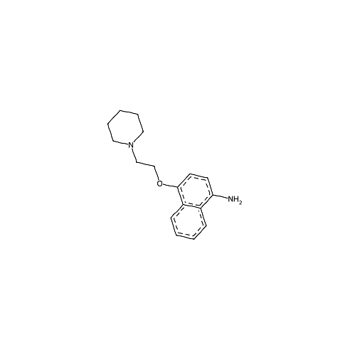 Nc1ccc(OCCN2CCCCC2)c2ccccc12